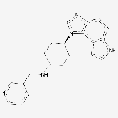 c1cncc(CN[C@H]2CC[C@H](n3cnc4cnc5[nH]ccc5c43)CC2)c1